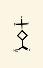 O=C(O)[C@H]1C[C@@H](C(F)(F)F)C1